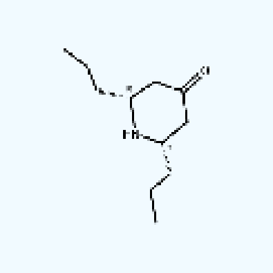 CCC[C@@H]1CC(=O)C[C@H](CCC)N1